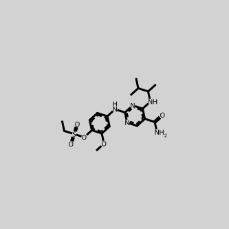 CCS(=O)(=O)Oc1ccc(Nc2ncc(C(N)=O)c(NC(C)C(C)C)n2)cc1OC